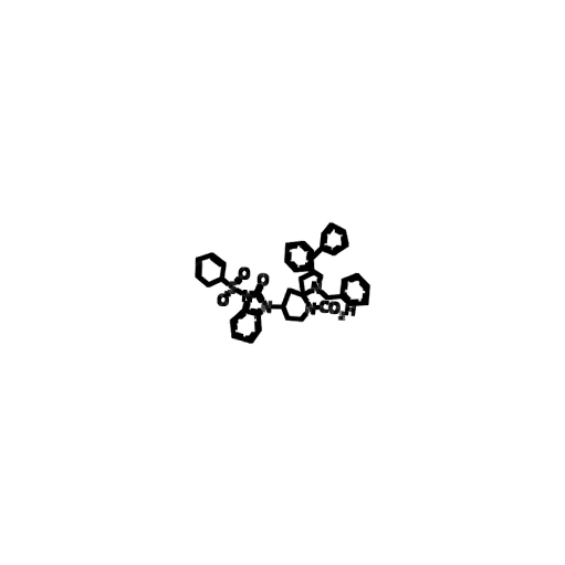 O=C(O)N1CCC(n2c(=O)n(S(=O)(=O)C3C=CC=CC3)c3ccccc32)CC1(CCCc1ccccc1)N(Cc1ccccc1)Cc1ccccc1